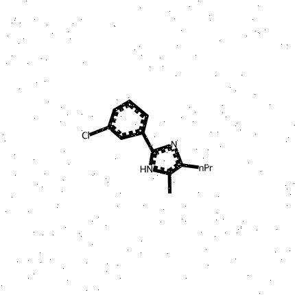 CCCc1nc(-c2cccc(Cl)c2)[nH]c1C